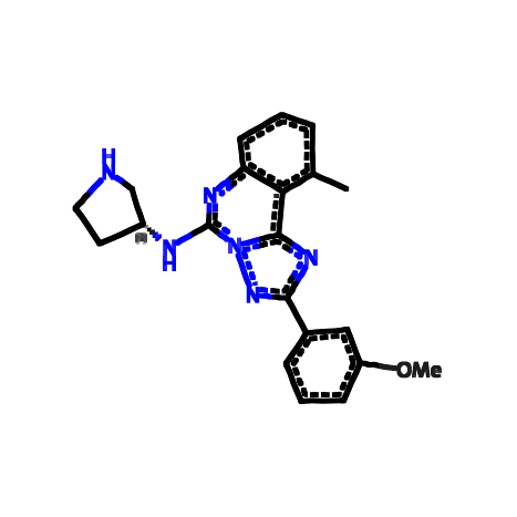 COc1cccc(-c2nc3c4c(C)cccc4nc(N[C@@H]4CCNC4)n3n2)c1